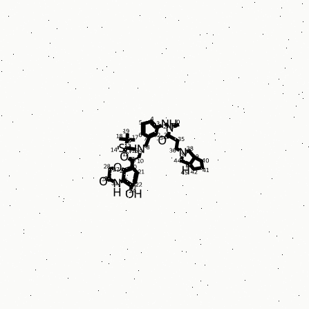 CN(Nc1cccc(CNC[C@H](O[Si](C)(C)C(C)(C)C)c2ccc(O)c3c2OCC(=O)N3)c1)C(=O)CCN1CC2CCC[C@H]2C1